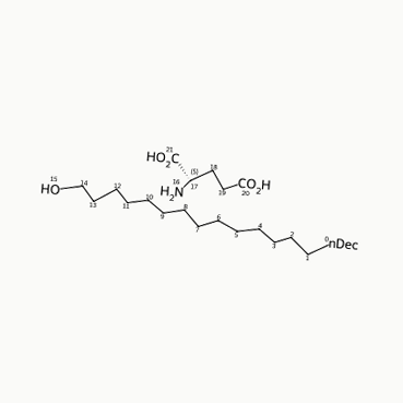 CCCCCCCCCCCCCCCCCCCCCCCCO.N[C@@H](CCC(=O)O)C(=O)O